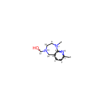 Cc1ccc2c(n1)N(C)CCN(CO)C2